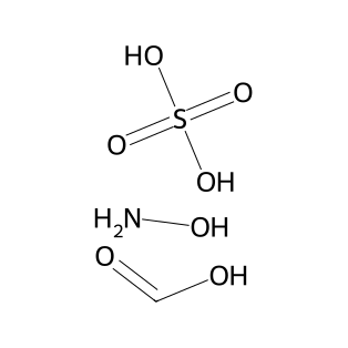 NO.O=CO.O=S(=O)(O)O